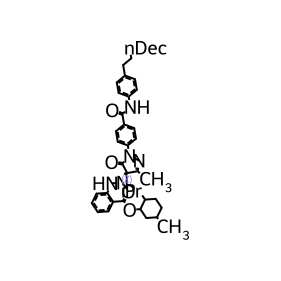 CCCCCCCCCCCCc1ccc(NC(=O)c2ccc(N3N=C(C)/C(=N/Nc4ccccc4C(=O)OC4CC(C)CCC4C(C)C)C3=O)cc2)cc1